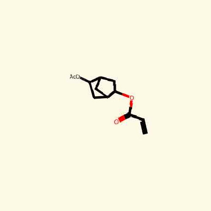 C=CC(=O)OC1CC2CC1CC2OC(C)=O